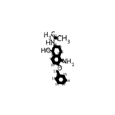 CC(C)N[C@H]1CCc2c(ccc(OCc3ccccc3)c2N)[C@@H]1O